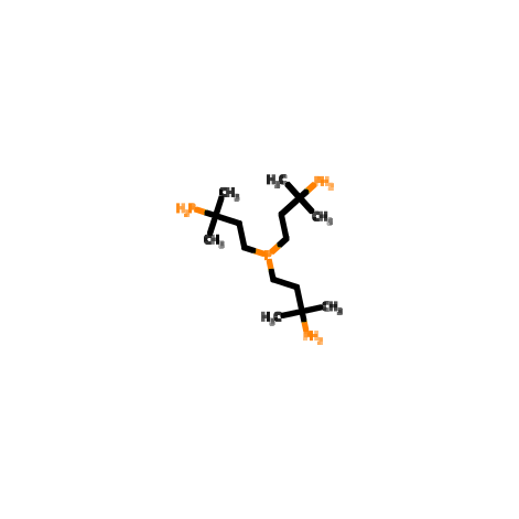 CC(C)(P)CCP(CCC(C)(C)P)CCC(C)(C)P